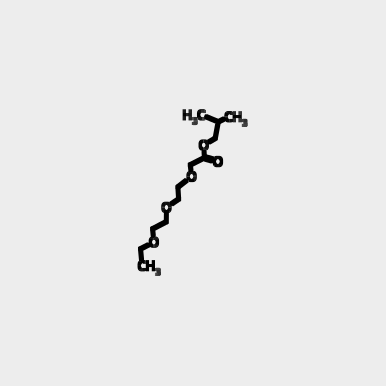 CCOCCOCCOCC(=O)OCC(C)C